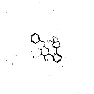 CC(O)C(O)C(COCc1ccccc1)c1ccccc1C1=NC(C)(C)CO1